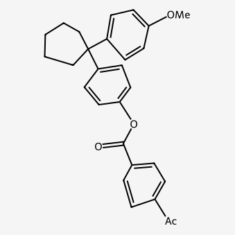 COc1ccc(C2(c3ccc(OC(=O)c4ccc(C(C)=O)cc4)cc3)CCCCC2)cc1